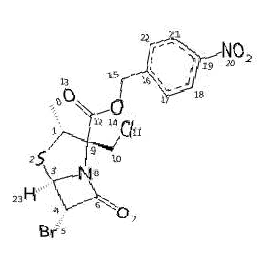 C[C@H]1S[C@@H]2[C@@H](Br)C(=O)N2[C@@]1(CCl)C(=O)OCc1ccc([N+](=O)[O-])cc1